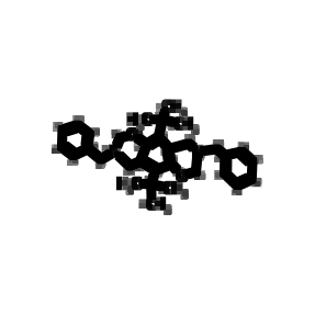 CC(C)(C)c1c2c(c(C(C)(C)C)c3c1OCN(Cc1ccccc1)C3)OCN(Cc1ccccc1)C2